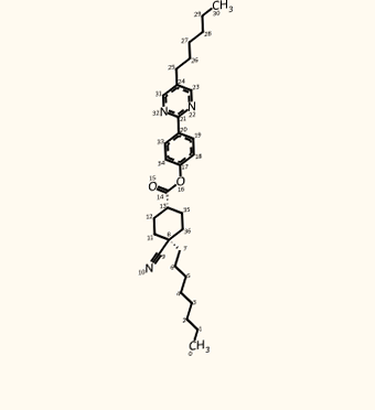 CCCCCCCC[C@]1(C#N)CC[C@H](C(=O)Oc2ccc(-c3ncc(CCCCCC)cn3)cc2)CC1